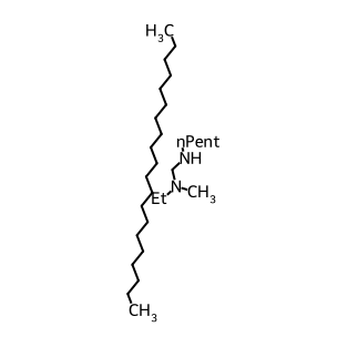 CCCCCCCCCCCCCCCCCCCC.CCCCCNCN(C)CC